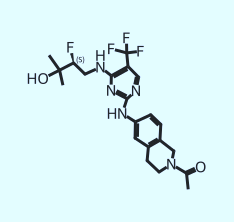 CC(=O)N1CCc2cc(Nc3ncc(C(F)(F)F)c(NC[C@H](F)C(C)(C)O)n3)ccc2C1